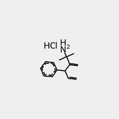 C=CC(C(=C)C(C)(C)N)c1ccccc1.Cl